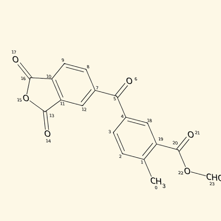 Cc1ccc(C(=O)c2ccc3c(c2)C(=O)OC3=O)cc1C(=O)OC=O